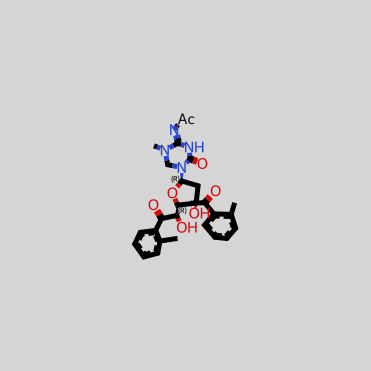 CC(=O)N=C1NC(=O)N([C@H]2C[C@@](O)(C(=O)c3ccccc3C)[C@@H](C(O)C(=O)c3ccccc3C)O2)CN1C